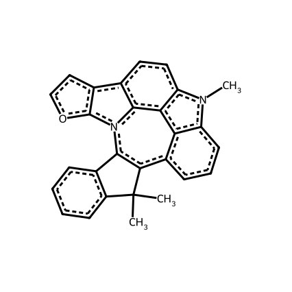 Cn1c2cccc3c4c(n5c6occc6c6ccc1c(c32)c65)-c1ccccc1C4(C)C